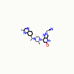 Cc1cnc2ccc(C(C)N3C[C@H](C)N(c4cc(=O)n(C)c5cn(CC#N)nc45)C[C@H]3C)cc2n1